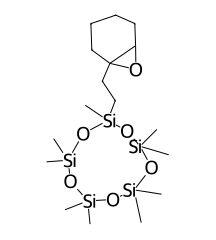 C[Si]1(C)O[Si](C)(C)O[Si](C)(C)O[Si](C)(CCC23CCCCC2O3)O[Si](C)(C)O1